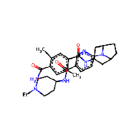 CCN1CCC(NC(=O)c2ccc(N3C4CCC3CC(NC(=O)c3cc(C)c(C(N)=O)cc3C)C4)nc2)CC1